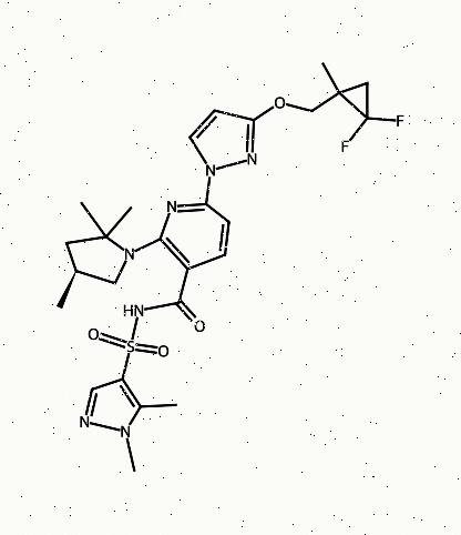 Cc1c(S(=O)(=O)NC(=O)c2ccc(-n3ccc(OCC4(C)CC4(F)F)n3)nc2N2C[C@@H](C)CC2(C)C)cnn1C